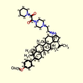 C=C(C)[C@@H]1CC[C@]2(NCCN3CCN(C(=O)C(=O)N4CCCCC4)CC3)CC[C@]3(C)[C@H](CC[C@@H]4[C@@]5(C)CC=C(c6ccc(OC=O)cc6)C(C)(C)[C@@H]5CC[C@]43C)[C@@H]12